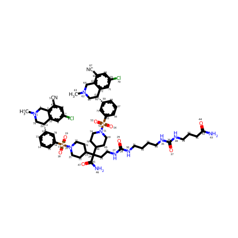 CN1Cc2c(C#N)cc(Cl)cc2[C@H](c2cccc(S(=O)(=O)N3CCC(C(CCNC(=O)NCCCCNC(=O)NCCCC(N)=O)(C(N)=O)C4CCN(S(=O)(=O)c5cccc([C@@H]6CN(C)Cc7c(C#N)cc(Cl)cc76)c5)CC4)CC3)c2)C1